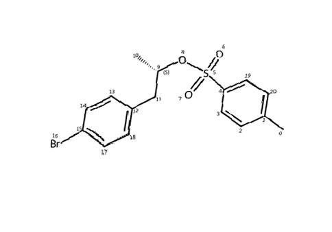 Cc1ccc(S(=O)(=O)O[C@@H](C)Cc2ccc(Br)cc2)cc1